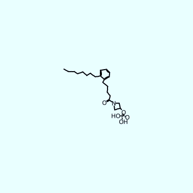 CCCCCCCCc1ccccc1CCCCC(=O)N1CC(OP(=O)(O)O)C1